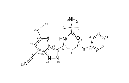 CC(C)(N)C(=O)N[C@H](COCc1ccccc1)c1nnc2c(C#N)cc(CI)cn12